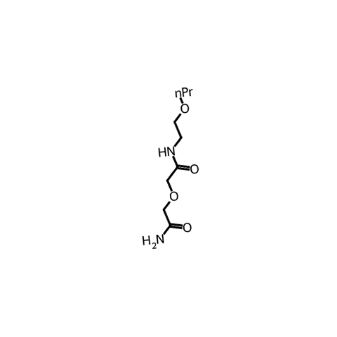 CCCOCCNC(=O)COCC(N)=O